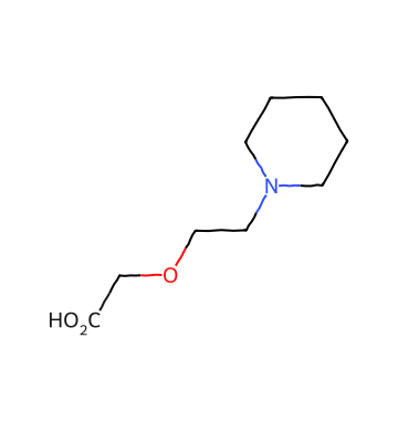 O=C(O)COCCN1CCCCC1